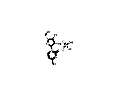 Nc1ccn(C2O[C@H](CO)[C@@H](O)[C@@H]2O)c(=O)n1.O=P(O)(O)O